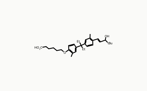 CCC(CC)(c1ccc(C=CC(O)C(C)(C)C)c(C)c1)c1ccc(OCCCCCC(=O)O)c(C)c1